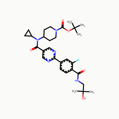 CC(C)(O)CNC(=O)c1ccc(-c2ncc(C(=O)N(C3CC3)C3CCN(C(=O)OC(C)(C)C)CC3)cn2)cc1F